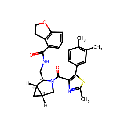 Cc1nc(C(=O)N2C[C@@H]3C[C@@H]3[C@H]2CNC(=O)c2cccc3c2CCO3)c(-c2ccc(C)c(C)c2)s1